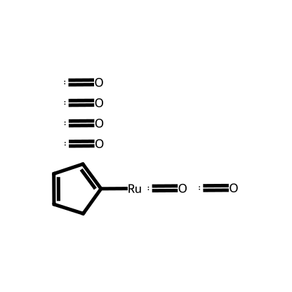 [C]=O.[C]=O.[C]=O.[C]=O.[C]=O.[C]=O.[Ru][C]1=CC=CC1